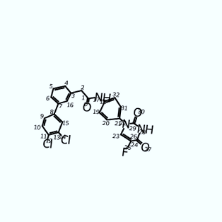 O=C(Cc1cccc(-c2ccc(Cl)c(Cl)c2)c1)Nc1ccc(-n2cc(F)c(=O)[nH]c2=O)cc1